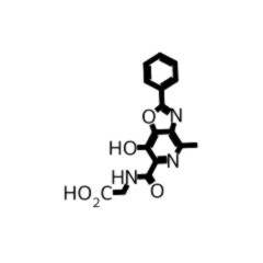 Cc1nc(C(=O)NCC(=O)O)c(O)c2oc(-c3ccccc3)nc12